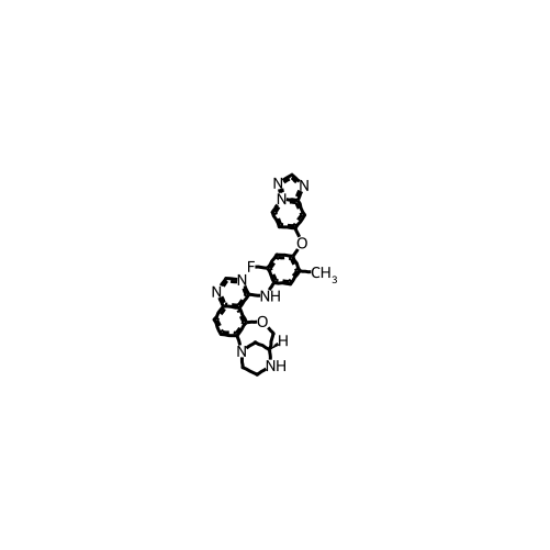 Cc1cc(Nc2ncnc3ccc4c(c23)OC[C@H]2CN4CCN2)c(F)cc1Oc1ccn2ncnc2c1